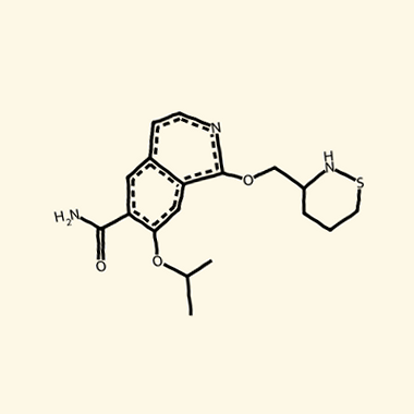 CC(C)Oc1cc2c(OCC3CCCSN3)nccc2cc1C(N)=O